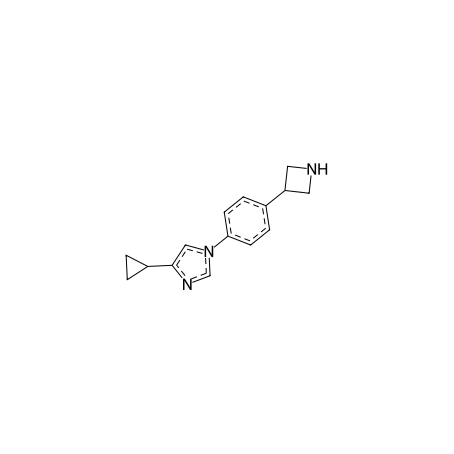 c1cc(-n2cnc(C3CC3)c2)ccc1C1CNC1